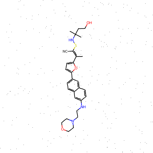 C/C(=C(/C#N)SNC(C)(C)CCO)c1ccc(-c2ccc3cc(NCCN4CCOCC4)ccc3c2)o1